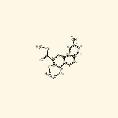 COC(=O)c1cc2c(ccc3ccc(O)cc32)c(OC)c1OC